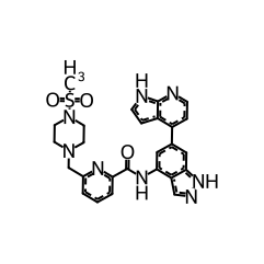 CS(=O)(=O)N1CCN(Cc2cccc(C(=O)Nc3cc(-c4ccnc5[nH]ccc45)cc4[nH]ncc34)n2)CC1